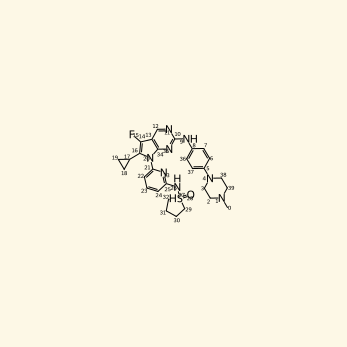 CN1CCN(c2ccc(Nc3ncc4c(F)c(C5CC5)n(-c5cccc(N[SH]6(=O)CCCC6)n5)c4n3)cc2)CC1